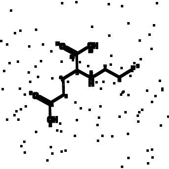 O=C(O)CCC(NCCF)C(=O)O